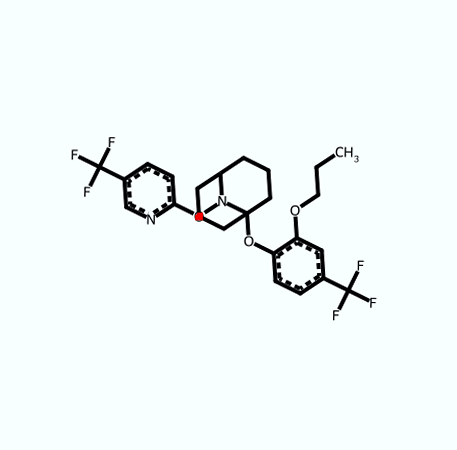 CCCOc1cc(C(F)(F)F)ccc1OC12CCCC(CCC1)N2Oc1ccc(C(F)(F)F)cn1